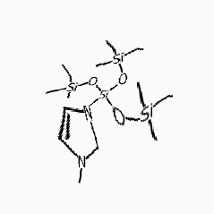 CN1C=CN([Si](O[Si](C)(C)C)(O[Si](C)(C)C)O[Si](C)(C)C)C1